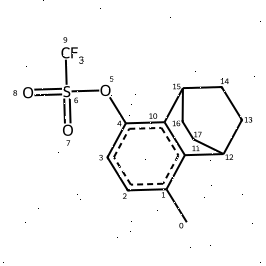 Cc1ccc(OS(=O)(=O)C(F)(F)F)c2c1C1CCC2CC1